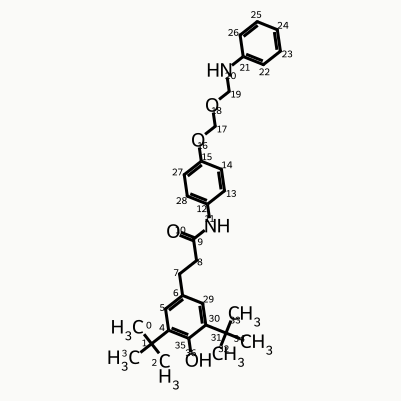 CC(C)(C)c1cc(CCC(=O)Nc2ccc(OCOCNc3ccccc3)cc2)cc(C(C)(C)C)c1O